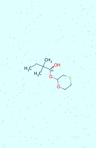 CCC(C)(C)[C@@H](O)OC1CSCCO1